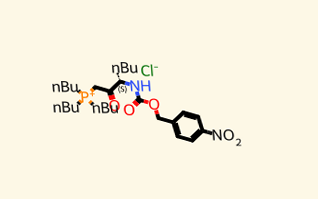 CCCC[C@H](NC(=O)OCc1ccc([N+](=O)[O-])cc1)C(=O)C[P+](CCCC)(CCCC)CCCC.[Cl-]